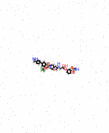 CNS(=O)(=O)c1cccc(OCC(O)CNC2COC3(CCN(S(=O)(=O)c4ccc(-c5ccc(CN)cc5)cc4OC(F)(F)F)CC3)C2)c1